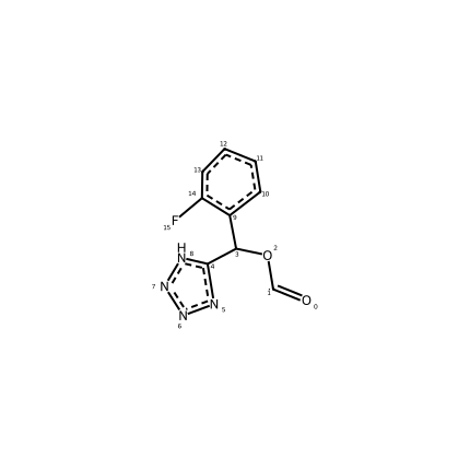 O=[C]OC(c1nnn[nH]1)c1ccccc1F